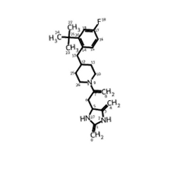 C=C1NC(=C)C(CC(=C)N2CCC(Cc3ccc(F)cc3C(C)(C)C)CC2)N1